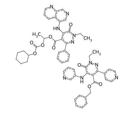 CCn1nc(-c2ccccc2)c(C(=O)OC(C)OC(=O)OC2CCCCC2)c(Nc2cncc3ncccc23)c1=O.CCn1nc(-c2ccncc2)c(C(=O)OCc2ccccc2)c(Nc2cccnc2)c1=O